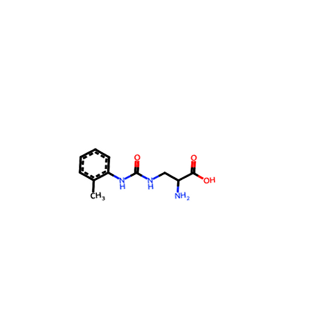 Cc1ccccc1NC(=O)NCC(N)C(=O)O